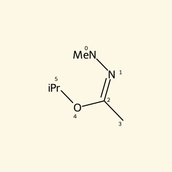 CN/N=C(/C)OC(C)C